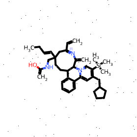 C=C/C1=N/C(=C)C2C(CCC(C=CCC)(CNC(=C)O)C1)c1ccccc1-c1cc(CC3CCCC3)c([Si](C)(C)C)c[n+]12